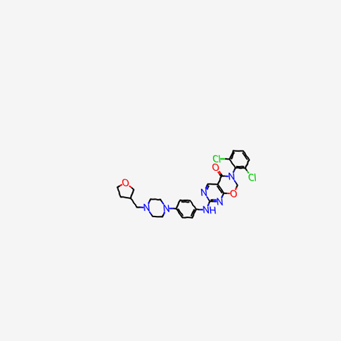 O=C1c2cnc(Nc3ccc(N4CCN(CC5CCOC5)CC4)cc3)nc2OCN1c1c(Cl)cccc1Cl